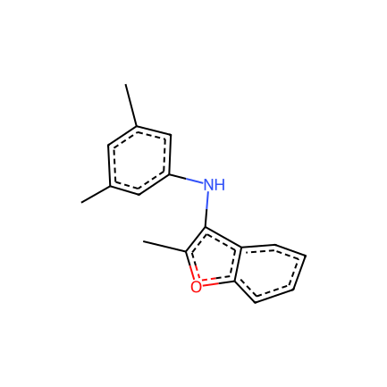 Cc1cc(C)cc(Nc2c(C)oc3ccccc23)c1